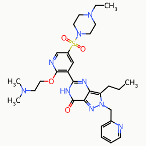 CCCc1c2nc(-c3cc(S(=O)(=O)N4CCN(CC)CC4)cnc3OCCN(C)C)[nH]c(=O)c2nn1Cc1ccccn1